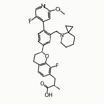 COc1cc(-c2ccc(C3CCc4ccc(CC(C)C(=O)O)c(F)c4O3)cc2CN2CCCCC23CC3)c(F)cn1